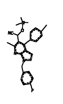 Cc1ccc(-c2c(C(C#N)O[Si](C)(C)C)c(C)nc3c2ccn3Cc2ccc(F)cc2)cc1